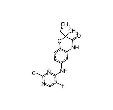 [CH2]CC1(C)Oc2ccc(Nc3nc(Cl)ncc3F)cc2NC1=O